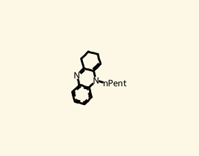 CCCCCN1C2=CCCCC2=Nc2ccccc21